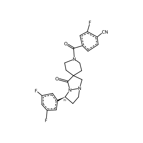 N#Cc1ccc(C(=O)N2CCC3(CC2)CN2CC[C@@H](c4cc(F)cc(F)c4)N2C3=O)cc1F